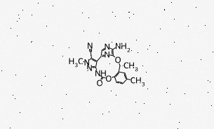 Cc1ccc2c(c1)[C@@H](C)Oc1nc(cnc1N)-c1c(nn(C)c1C#N)NC(=O)O2